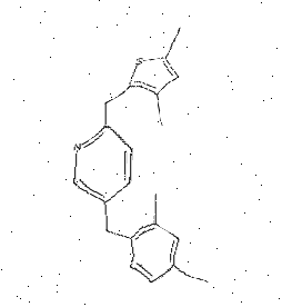 Cc1ccc(Cc2ccc(Cc3sc(C)cc3C)nc2)c(C)c1